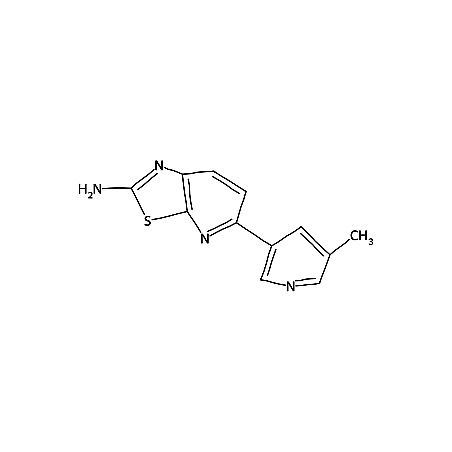 Cc1cncc(-c2ccc3nc(N)sc3n2)c1